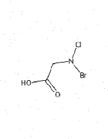 O=C(O)CN(Cl)Br